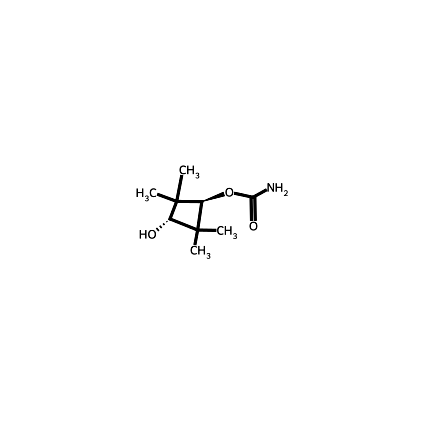 CC1(C)[C@H](O)C(C)(C)[C@H]1OC(N)=O